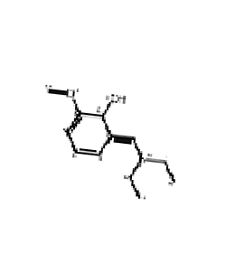 CCN(C=C1C=CC=C(OC)C1O)CC